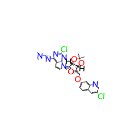 CN(C)/C=N/c1nc(Cl)nc2c1ccn2[C@@H]1O[C@H](COc2ccc3cc(Cl)cnc3c2)[C@H]2OC(C)(C)O[C@H]21